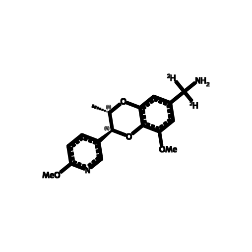 [2H]C([2H])(N)c1cc(OC)c2c(c1)O[C@@H](C)[C@H](c1ccc(OC)nc1)O2